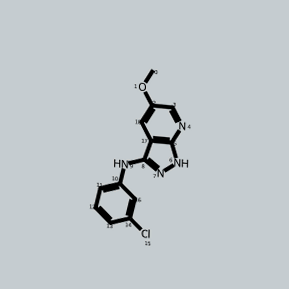 COc1cnc2[nH]nc(Nc3cccc(Cl)c3)c2c1